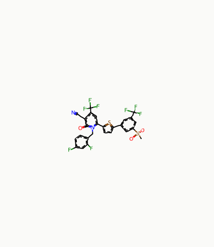 CS(=O)(=O)c1cc(-c2ccc(-c3cc(C(F)(F)F)c(C#N)c(=O)n3Cc3ccc(F)cc3F)s2)cc(C(F)(F)F)c1